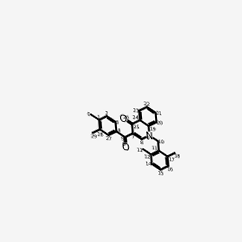 Cc1ccc(C(=O)c2cn(Cc3c(C)cccc3C)c3ccccc3c2=O)cc1C